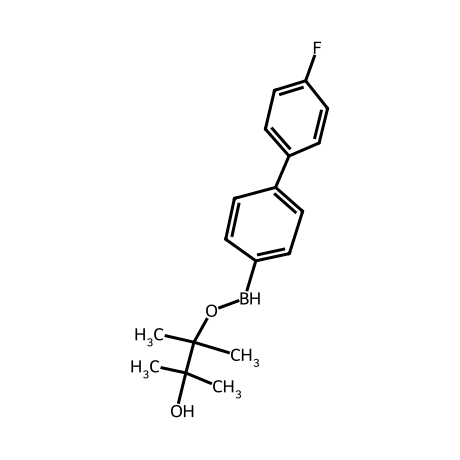 CC(C)(O)C(C)(C)OBc1ccc(-c2ccc(F)cc2)cc1